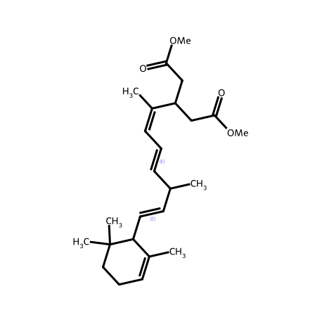 COC(=O)CC(CC(=O)OC)C(C)=C/C=C/C(C)/C=C/C1C(C)=CCCC1(C)C